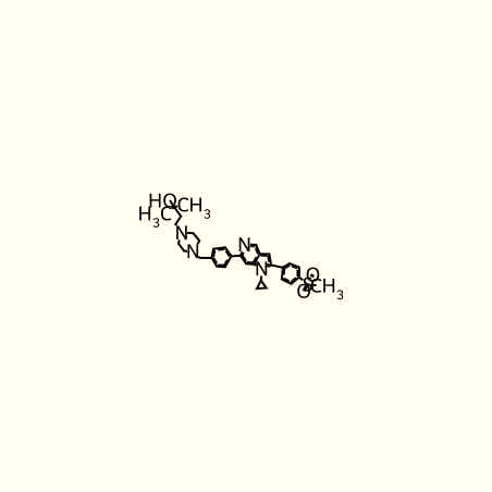 CC(C)(O)CCN1CCN(Cc2ccc(-c3cc4c(cn3)cc(-c3ccc(S(C)(=O)=O)cc3)n4C3CC3)cc2)CC1